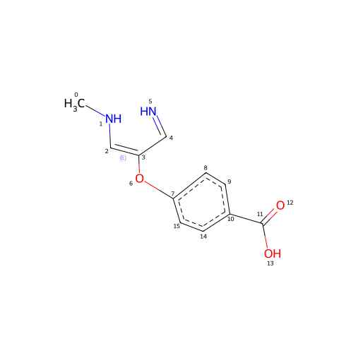 CN/C=C(\C=N)Oc1ccc(C(=O)O)cc1